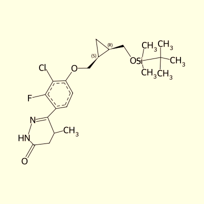 CC1CC(=O)NN=C1c1ccc(OC[C@H]2C[C@H]2CO[Si](C)(C)C(C)(C)C)c(Cl)c1F